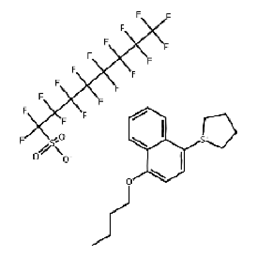 CCCCOc1ccc([S+]2CCCC2)c2ccccc12.O=S(=O)([O-])C(F)(F)C(F)(F)C(F)(F)C(F)(F)C(F)(F)C(F)(F)C(F)(F)C(F)(F)F